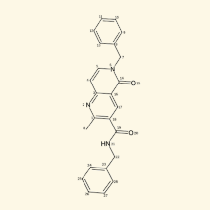 Cc1nc2ccn(Cc3ccccc3)c(=O)c2cc1C(=O)NCc1ccccc1